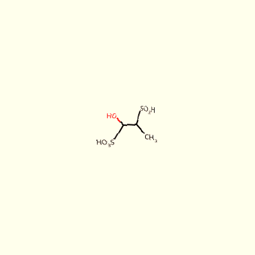 CC(C(O)S(=O)(=O)O)S(=O)(=O)O